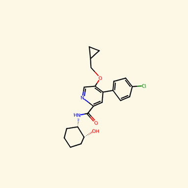 O=C(N[C@H]1CCCC[C@H]1O)c1cc(-c2ccc(Cl)cc2)c(OCC2CC2)cn1